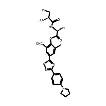 CC(C)C[C@H](N)C(=O)N[C@H](C(=O)Oc1c(F)cc(-c2nc(-c3ccc(N4CCCC4)cc3)ns2)cc1C=O)C(C)C